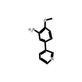 COc1ccc(-c2cccnc2)cc1N